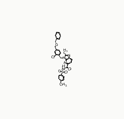 Cc1ccc(S(=O)(=O)NC(=O)c2ccc3nc(C)n(Cc4ccc(COCc5ccccc5)cc4Cl)c3n2)cc1